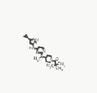 CN(c1nccc(Nc2cc(C3CC3)[nH]n2)n1)C1CCN(C(=O)C(C)(C)C)CC1